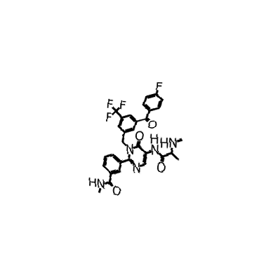 CNC(=O)c1cccc(-c2ncc(NC(=O)C(C)NC)c(=O)n2Cc2cc(C(=O)c3ccc(F)cc3)cc(C(F)(F)F)c2)c1